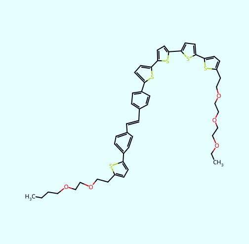 CCCCOCCOCCc1ccc(-c2ccc(/C=C/c3ccc(-c4ccc(-c5ccc(-c6ccc(-c7ccc(CCOCCOCCOCC)s7)s6)s5)s4)cc3)cc2)s1